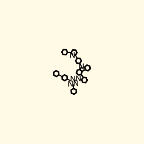 c1ccc(-c2ccc(-c3nc(-c4ccccc4)nc(-n4c5ccccc5c5c6c7ccccc7n(-c7ccc(-c8cccc(-c9ccccc9)n8)cc7)c6ccc54)n3)cc2)cc1